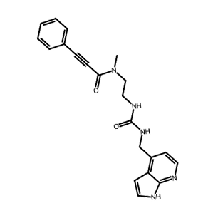 CN(CCNC(=O)NCc1ccnc2[nH]ccc12)C(=O)C#Cc1ccccc1